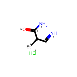 CCC(C=N)C(N)=O.Cl